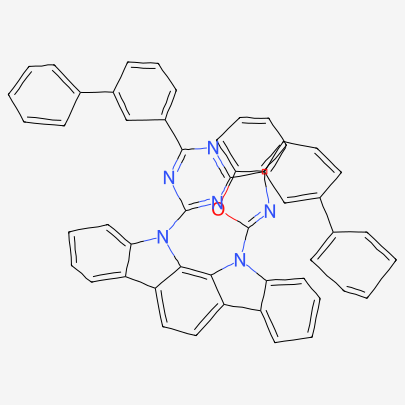 c1ccc(-c2cccc(-c3nc(-c4cccc(-c5ccccc5)c4)nc(-n4c5ccccc5c5ccc6c7ccccc7n(-c7nc8ccccc8o7)c6c54)n3)c2)cc1